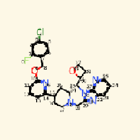 Fc1cc(Cl)ccc1COc1cccc(C2CCN(Cc3nc4cccnc4n3C[C@@H]3CCO3)CC2)n1